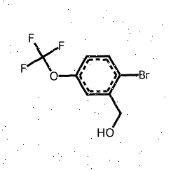 OCc1cc(OC(F)(F)F)ccc1Br